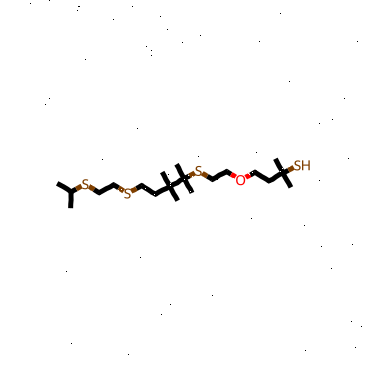 CC(C)SCCSCCC(C)(C)C(C)(C)SCCOCCC(C)(C)S